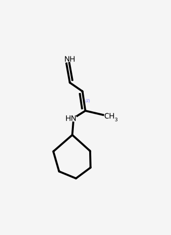 C/C(=C/C=N)NC1CCCCC1